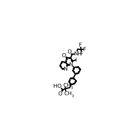 CC(C)(Cc1ccc(-c2cccc(-n3c(I)c(C(=O)NCC(F)(F)F)c(=O)c4cccnc43)c2)cc1)C(=O)O